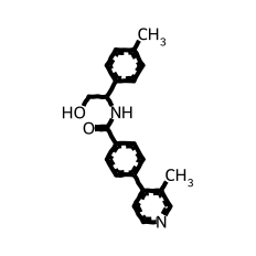 Cc1ccc(C(CO)NC(=O)c2ccc(-c3ccncc3C)cc2)cc1